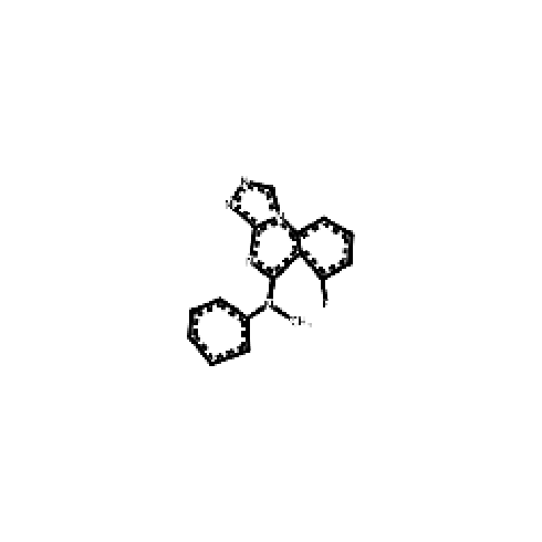 CN(c1ccccc1)c1nc2nncn2c2cccc(F)c12